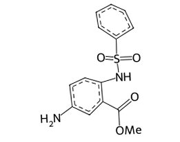 COC(=O)c1cc(N)ccc1NS(=O)(=O)c1ccccc1